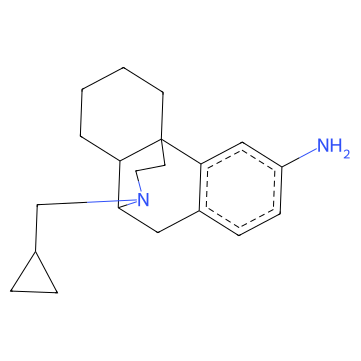 Nc1ccc2c(c1)C13CCCCC1C(C2)N(CC1CC1)CC3